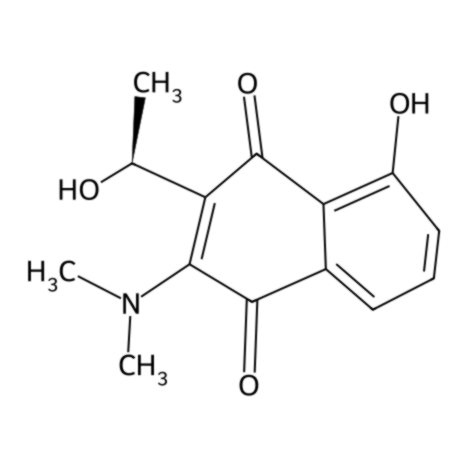 C[C@H](O)C1=C(N(C)C)C(=O)c2cccc(O)c2C1=O